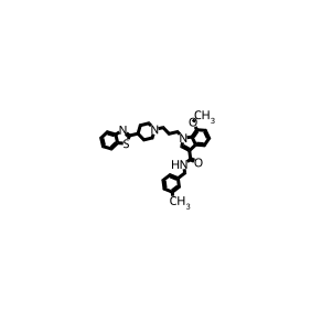 COc1cccc2c(C(=O)NCc3cccc(C)c3)cn(CCCN3CCC(c4nc5ccccc5s4)CC3)c12